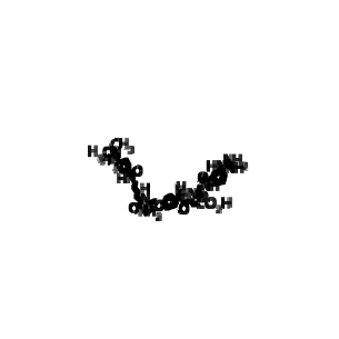 CC(C)=NNc1ccc(C(=O)NCCCCC(NC(=O)COc2ccc(NC(=O)[C@H](CC(=O)O)NC(=O)CNC(=O)c3cccc(NC(=N)N)c3)cc2)C(N)=O)cn1